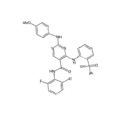 COc1ccc(Nc2ncc(C(=O)Nc3c(F)cccc3Cl)c(Nc3ccccc3S(=O)(=O)C(C)C)n2)cc1